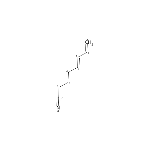 C=CC=CCCCC#N